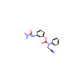 CNC(=O)Nc1cccc(OC(=O)N(CC#N)c2ccccc2)c1